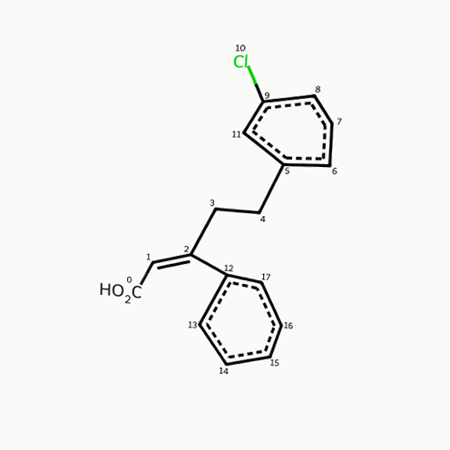 O=C(O)/C=C(/CCc1cccc(Cl)c1)c1ccccc1